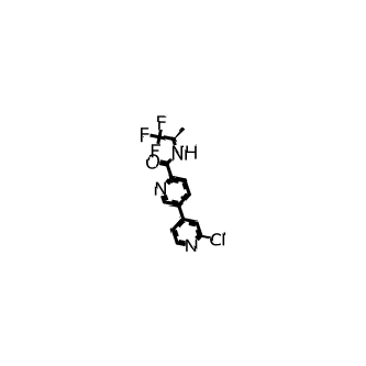 C[C@@H](NC(=O)c1ccc(-c2ccnc(Cl)c2)cn1)C(F)(F)F